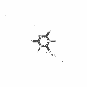 N.O=c1[nH]c(=O)n(I)c(=O)n1I